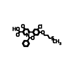 CSCCCOc1cc2c(cc1Cl)-c1cc(=O)c(C(=O)O)cn1C(c1ccccc1)O2